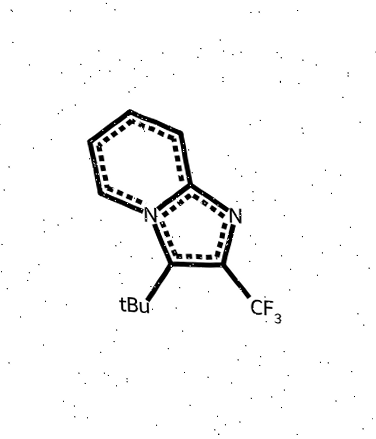 CC(C)(C)c1c(C(F)(F)F)nc2ccccn12